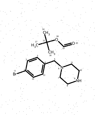 Brc1ccc(CN2CCNCC2)cc1.CC(C)(C)OC=O